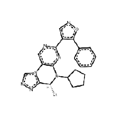 CC[C@@H]1c2nncn2-c2cnc(-c3cnoc3-c3ccccc3)nc2N1C1CCCC1